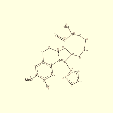 COc1cc2c(cc1Br)C1=C(c3cccs3)C3CSCCN(C(C)(C)C)C(=O)C3N1CC2